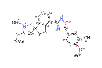 CCC1(CN(C=O)CCNC)CCc2c(-c3noc(-c4ccc(OC(C)C)c(C#N)c4)n3)cccc21